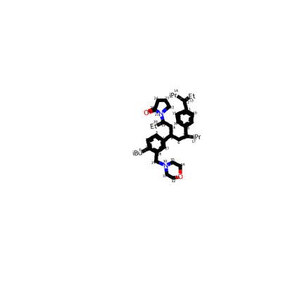 CCC(C)c1ccc(C(CC(c2ccc(C(CC)C(C)C)cc2)C(C)C)CC(CC)N2CCCC2=O)cc1CN1CCOCC1